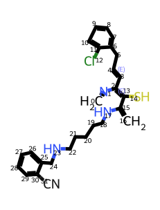 C=NC(/C=C/Cc1ccccc1Cl)=C(/S)C(=C)NCCCCCNCc1ccccc1C#N